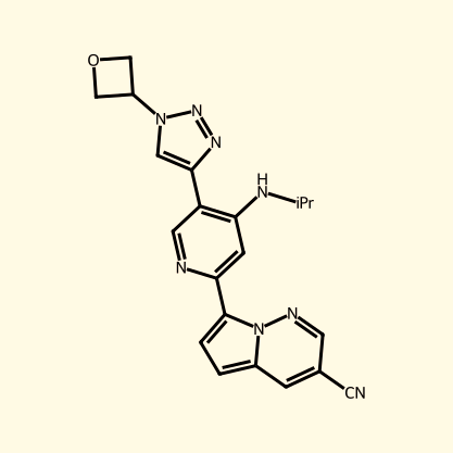 CC(C)Nc1cc(-c2ccc3cc(C#N)cnn23)ncc1-c1cn(C2COC2)nn1